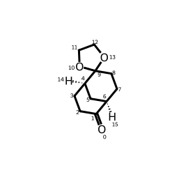 O=C1CC[C@@H]2C[C@H]1CCC21OCCO1